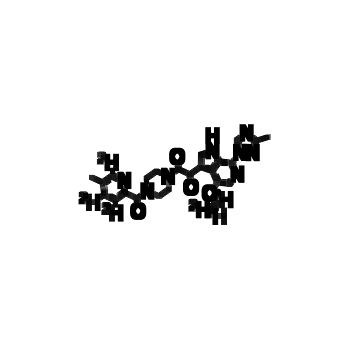 [2H]c1nc(C(=O)N2CCN(C(=O)C(=O)c3c[nH]c4c(-n5cnc(C)n5)ncc(OC([2H])([2H])[2H])c34)CC2)c([2H])c([2H])c1C